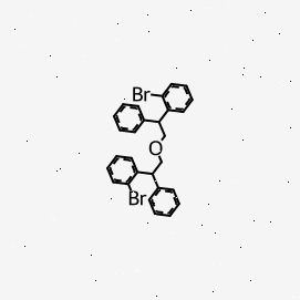 Brc1ccccc1C(COCC(c1ccccc1)c1ccccc1Br)c1ccccc1